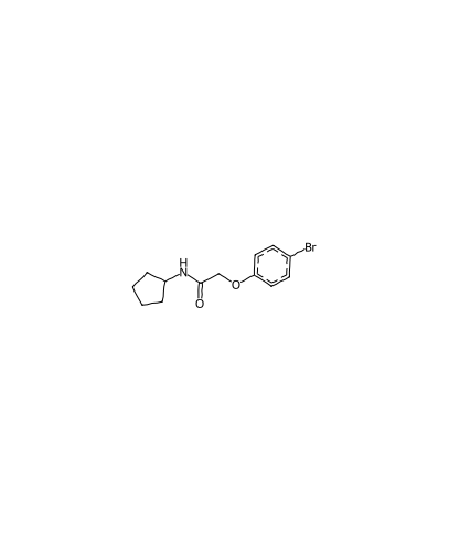 O=C(COc1ccc(Br)cc1)NC1CCCC1